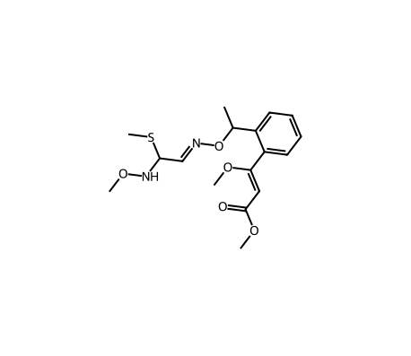 CONC(C=NOC(C)c1ccccc1C(=CC(=O)OC)OC)SC